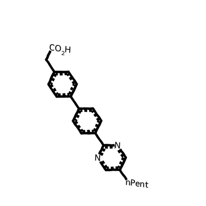 CCCCCc1cnc(-c2ccc(-c3ccc(CC(=O)O)cc3)cc2)nc1